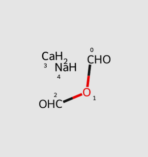 O=COC=O.[CaH2].[NaH]